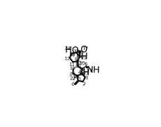 C=C1CC[C@H]2[C@H](C=N)[C@@H]([C@@]3(C)CC[C@H]4C[C@@H]3C(=O)O4)CC[C@]12C